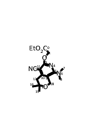 CCOC(=O)COc1nc(N(C)C)c2c(c1C#N)CC(C)(C)OC2